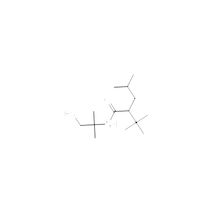 CC(C)CC(C(=O)NC(C)(C)CS)C(C)(C)C